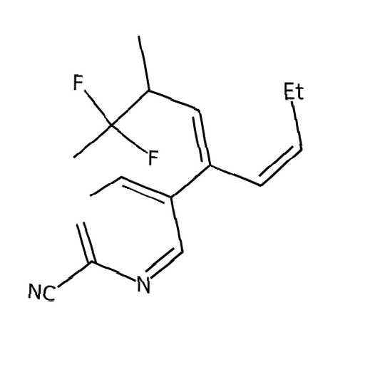 C=C(C#N)\N=C/C(=C\C)C(/C=C\CC)=C\C(C)C(C)(F)F